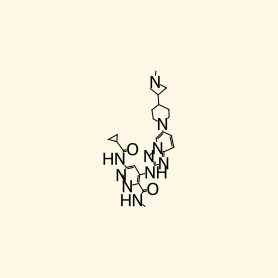 CNC(=O)c1nnc(NC(=O)C2CC2)cc1Nc1nc2ccc(N3CCC(C4CN(C)C4)CC3)cn2n1